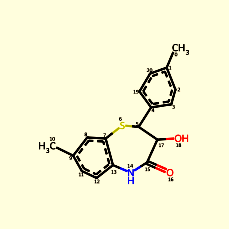 Cc1ccc(C2Sc3cc(C)ccc3NC(=O)C2O)cc1